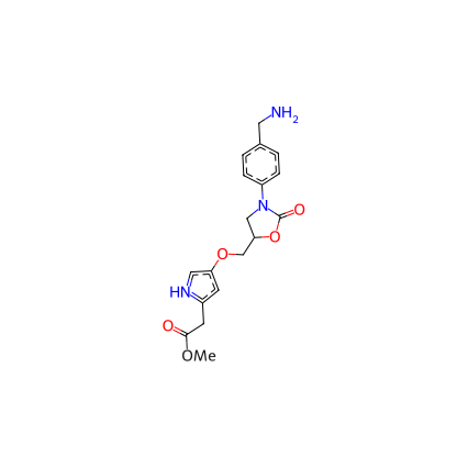 COC(=O)Cc1cc(OCC2CN(c3ccc(CN)cc3)C(=O)O2)c[nH]1